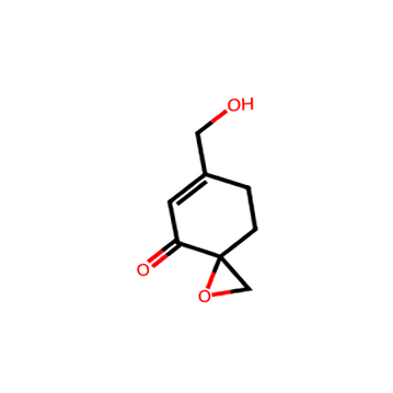 O=C1C=C(CO)CCC12CO2